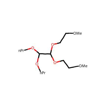 CCCOC(OCCC)C(OCCOC)OCCOC